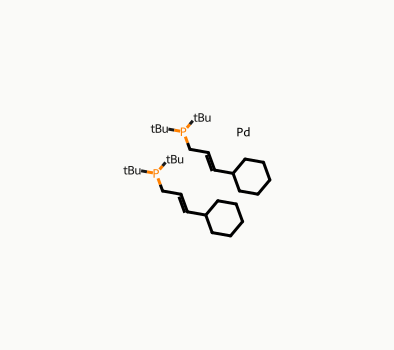 CC(C)(C)P(CC=CC1CCCCC1)C(C)(C)C.CC(C)(C)P(CC=CC1CCCCC1)C(C)(C)C.[Pd]